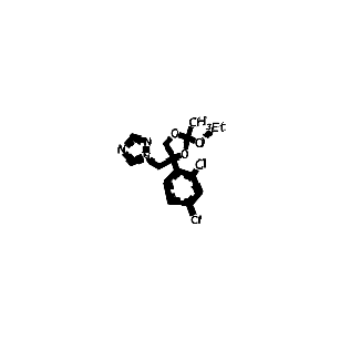 CCOC1(C)OCC(Cn2cncn2)(c2ccc(Cl)cc2Cl)O1